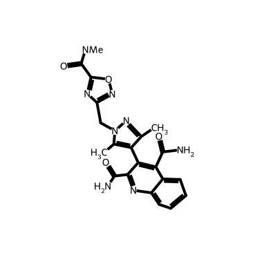 CNC(=O)c1nc(Cn2nc(C)c(-c3c(C(N)=O)nc4ccccc4c3C(N)=O)c2C)no1